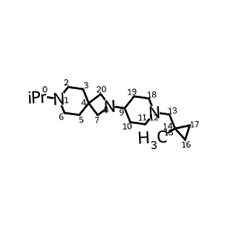 CC(C)N1CCC2(CC1)CN(C1CCN(CC3(C)CC3)CC1)C2